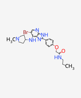 CCCNC(=O)COc1ccc(-c2nc3c(NC4CCN(C)CC4)c(Br)cnc3[nH]2)cc1